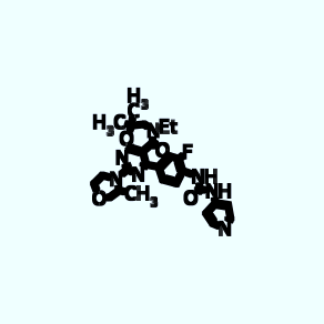 CCN1CC(C)(C)Oc2nc(N3CCOCC3C)nc(-c3ccc(NC(=O)Nc4ccncc4)c(F)c3)c2C1=O